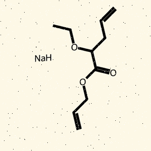 C=CCOC(=O)C(CC=C)OCC.[NaH]